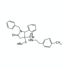 CCCCSC1(C(=O)NCCc2ccc(C)cc2)CC(=O)N(Cc2ccccc2)C1c1ccccc1Br